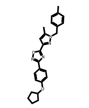 Cc1ccc(Cn2nc(-c3nc(-c4ccc(OC5CCCC5)cc4)no3)cc2C)cc1